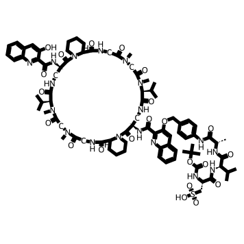 CC(C)[C@H](NC(=O)[C@H](CS(=O)(=O)O)NC(=O)OC(C)(C)C)C(=O)N[C@@H](C)C(=O)Nc1ccc(COc2cc3ccccc3nc2C(=O)N[C@@H]2CNC(=O)[C@H](C(C)C)N(C)C(=O)CN(C)C(=O)CNC(=O)[C@@H]3CCCCN3C(=O)[C@H](NC(=O)c3nc4ccccc4cc3O)CNC(=O)[C@H](C(C)C)N(C)C(=O)CN(C)C(=O)CNC(=O)[C@@H]3CCCCN3C2=O)cc1